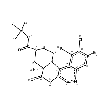 CC(C)(C)OC(=O)N1CCN2c3c(cnc4cc(Br)c(Cl)c(F)c34)NC(=O)[C@H]2C1